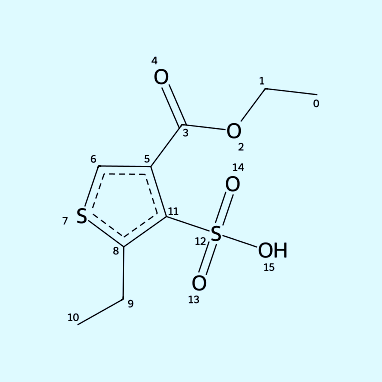 CCOC(=O)c1csc(CC)c1S(=O)(=O)O